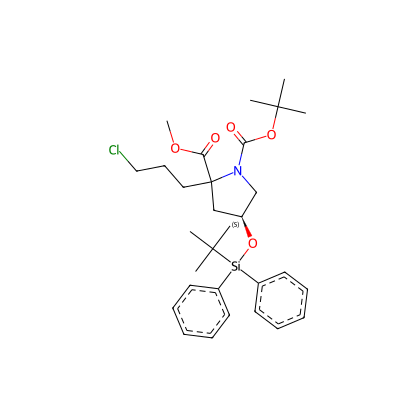 COC(=O)C1(CCCCl)C[C@H](O[Si](c2ccccc2)(c2ccccc2)C(C)(C)C)CN1C(=O)OC(C)(C)C